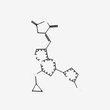 N#Cc1ccc(-c2cc(NC3CC3)n3ncc(/C=C4\CC(=O)NC4=O)c3n2)s1